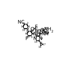 N#Cc1ccc(-c2cc(F)cc(Nc3ncc(C4CC4)nc3C(=O)NS(N)(=O)=O)c2OC(F)F)cc1